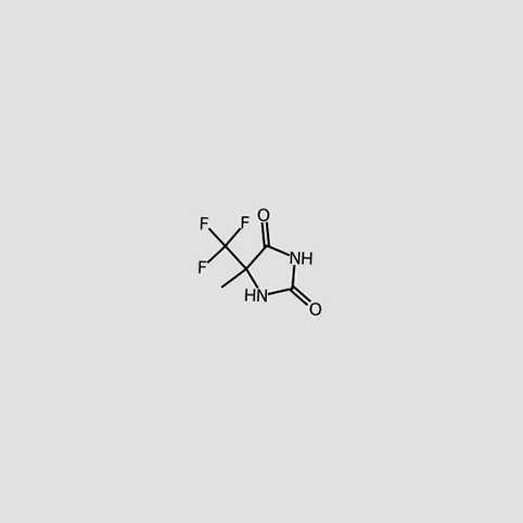 CC1(C(F)(F)F)NC(=O)NC1=O